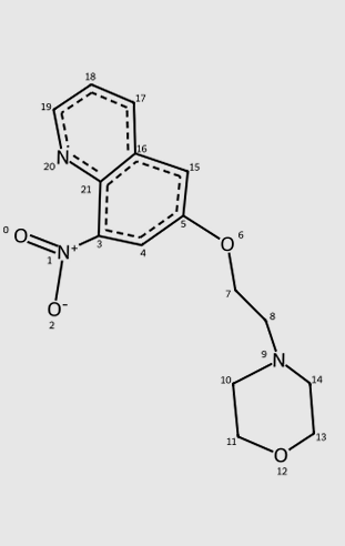 O=[N+]([O-])c1cc(OCCN2CCOCC2)cc2cccnc12